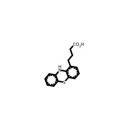 O=C(O)CCCc1cccc2c1Nc1ccccc1S2